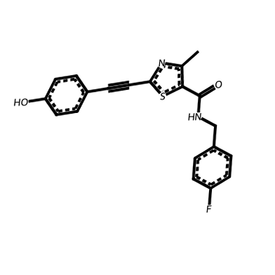 Cc1nc(C#Cc2ccc(O)cc2)sc1C(=O)NCc1ccc(F)cc1